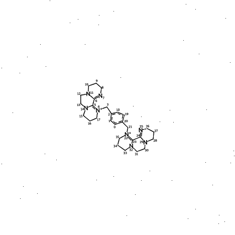 c1cc(C[N+]2=C3C4=NCCCN4CCN3CCC2)ccc1C[N+]1=C2C3=NCCCN3CCN2CCC1